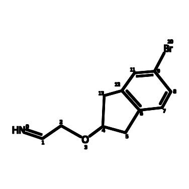 N=CCOC1Cc2ccc(Br)cc2C1